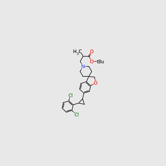 CC(CN1CCC2(CC1)COc1cc(C3CC3c3c(Cl)cccc3Cl)ccc12)C(=O)OC(C)(C)C